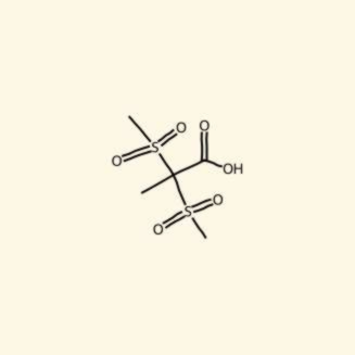 CC(C(=O)O)(S(C)(=O)=O)S(C)(=O)=O